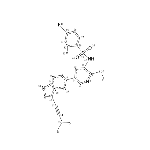 COc1ncc(-c2ccc3ncc(C#CC(C)C)n3n2)cc1NS(=O)(=O)c1ccc(F)cc1F